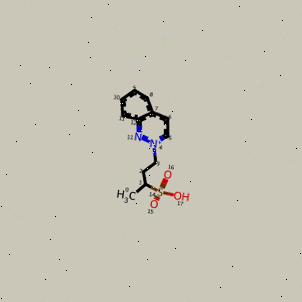 CC(CC[n+]1ccc2ccccc2n1)S(=O)(=O)O